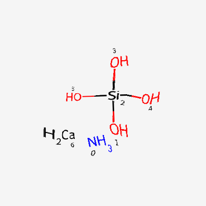 N.O[Si](O)(O)O.[CaH2]